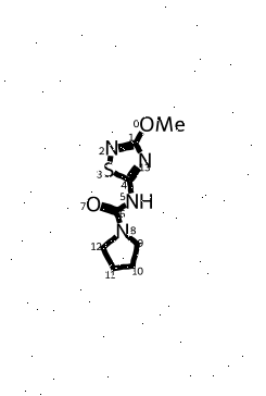 COc1nsc(NC(=O)N2CCCC2)n1